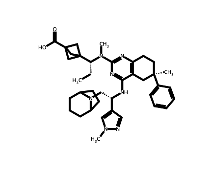 CC[C@@H](N(C)c1nc2c(c(N[C@@H](CN3C4CCCC3CC4)c3cnn(C)c3)n1)C[C@](C)(c1ccccc1)CC2)C12CC(C(=O)O)(C1)C2